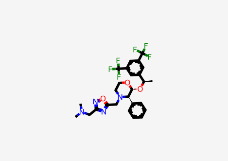 C[C@@H](O[C@H]1OCCN(Cc2nc(CN(C)C)no2)[C@H]1c1ccccc1)c1cc(C(F)(F)F)cc(C(F)(F)F)c1